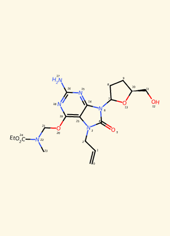 C=CCn1c(=O)n(C2CC[C@@H](CO)O2)c2nc(N)nc(OCN(C)C(=O)OCC)c21